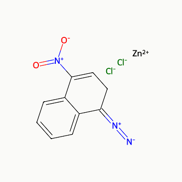 [Cl-].[Cl-].[N-]=[N+]=C1CC=C([N+](=O)[O-])c2ccccc21.[Zn+2]